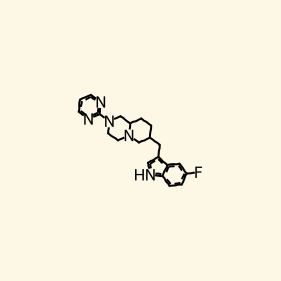 Fc1ccc2[nH]cc(CC3CCC4CN(c5ncccn5)CCN4C3)c2c1